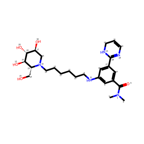 CN(C)C(=O)c1cc(NCCCCCCN2C[C@H](O)[C@@H](O)[C@H](O)[C@H]2CO)cc(C2=NC=CCN2)c1